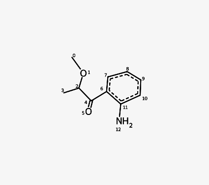 COC(C)C(=O)c1ccccc1N